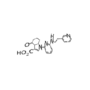 O=C(O)C1=CN(c2cccc(NCCc3cccnc3)n2)C2CCCC(=O)C12